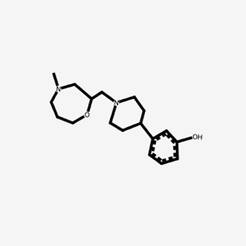 CN1CCCOC(CN2CCC(c3cccc(O)c3)CC2)C1